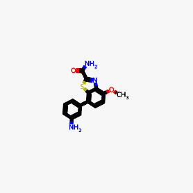 COc1ccc(-c2cccc(N)c2)c2sc(C(N)=O)nc12